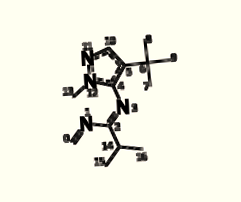 C=N/C(=N\c1c(C(C)(C)C)cnn1C)C(C)C